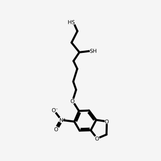 O=[N+]([O-])c1cc2c(cc1OCCCCC(S)CCS)OCO2